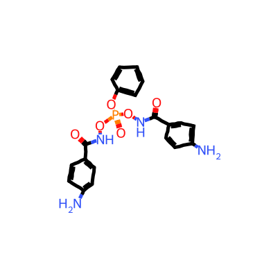 Nc1ccc(C(=O)NOP(=O)(ONC(=O)c2ccc(N)cc2)Oc2ccccc2)cc1